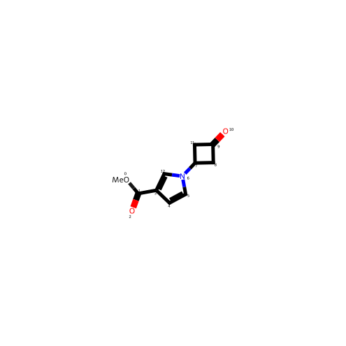 COC(=O)c1ccn(C2CC(=O)C2)c1